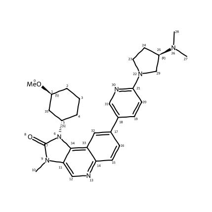 CO[C@H]1CCC[C@H](n2c(=O)n(C)c3cnc4ccc(-c5ccc(N6CC[C@@H](N(C)C)C6)nc5)cc4c32)C1